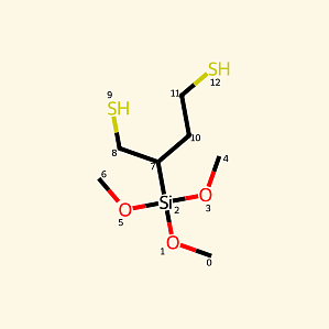 CO[Si](OC)(OC)C(CS)CCS